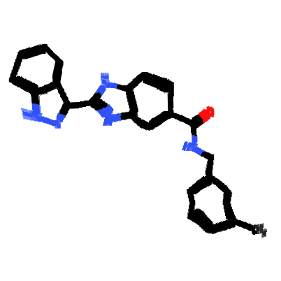 Cc1cccc(CNC(=O)c2ccc3[nH]c(-c4n[nH]c5ccccc45)nc3c2)c1